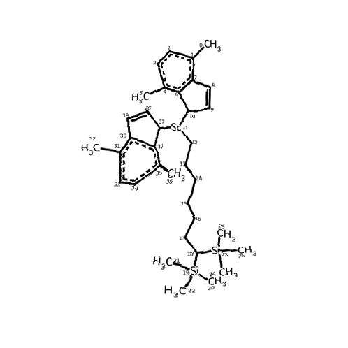 Cc1ccc(C)c2c1C=C[CH]2[Sc]([CH2]CCCCC[C]([Si](C)(C)C)[Si](C)(C)C)[CH]1C=Cc2c(C)ccc(C)c21